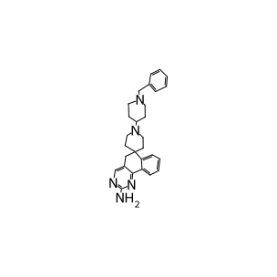 Nc1ncc2c(n1)-c1ccccc1C1(CCN(C3CCN(Cc4ccccc4)CC3)CC1)C2